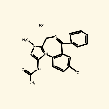 CC(=O)Nc1nn(C)c2[n+]1-c1ccc(Cl)cc1C(c1ccccc1)=NC2.[OH-]